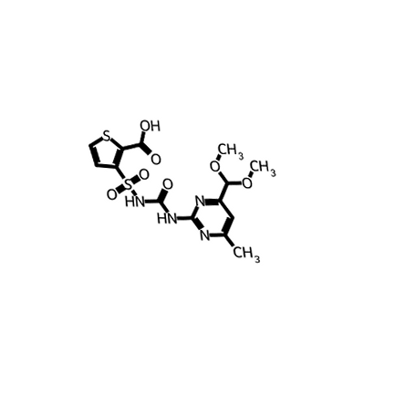 COC(OC)c1cc(C)nc(NC(=O)NS(=O)(=O)c2ccsc2C(=O)O)n1